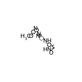 COc1ccc2nccc(-n3cc4c(n3)CCC(NCc3ccc5c(c3)NC(=O)CS5)C4)c2c1